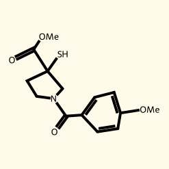 COC(=O)C1(S)CCN(C(=O)c2ccc(OC)cc2)C1